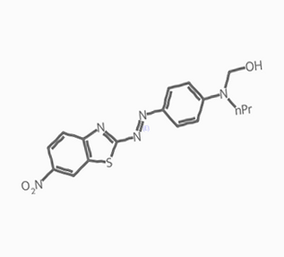 CCCN(CO)c1ccc(/N=N/c2nc3ccc([N+](=O)[O-])cc3s2)cc1